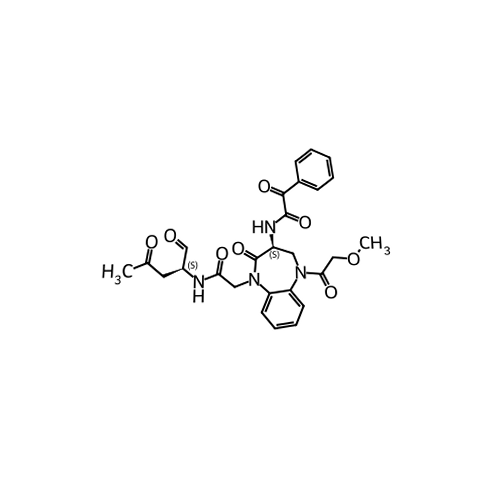 COCC(=O)N1C[C@H](NC(=O)C(=O)c2ccccc2)C(=O)N(CC(=O)N[C@H](C=O)CC(C)=O)c2ccccc21